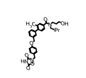 Cc1cc(C(=O)N(CCCO)CC(C)C)ccc1-c1cccc(COc2ccc(Cn3oc(=O)[nH]c3=O)cc2)c1